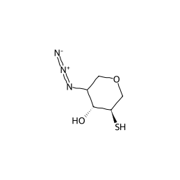 [N-]=[N+]=NC1COC[C@@H](S)[C@@H]1O